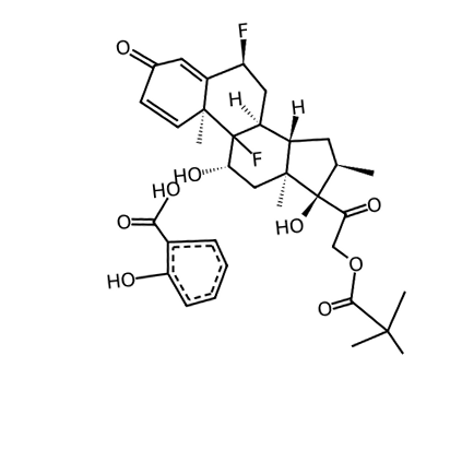 C[C@@H]1C[C@H]2[C@@H]3C[C@H](F)C4=CC(=O)C=C[C@]4(C)C3(F)[C@@H](O)C[C@]2(C)[C@@]1(O)C(=O)COC(=O)C(C)(C)C.O=C(O)c1ccccc1O